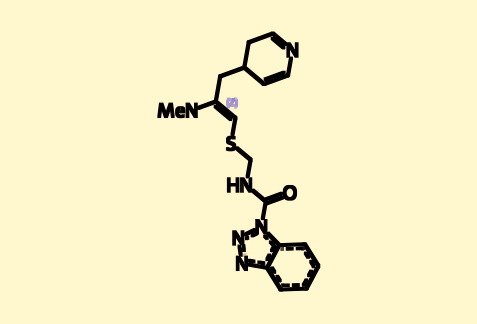 CN/C(=C\SCNC(=O)n1nnc2ccccc21)CC1C=CN=CC1